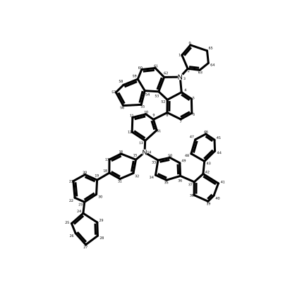 C1=CC(n2c3cccc(-c4cccc(N(c5ccc(-c6cccc(-c7ccccc7)c6)cc5)c5ccc(-c6ccccc6-c6ccccc6)cc5)c4)c3c3c4ccccc4ccc32)=CCC1